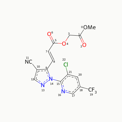 COC(=O)COC(=O)C=Cc1c(C#N)cnn1-c1ncc(C(F)(F)F)cc1Cl